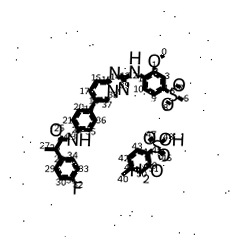 COc1cc(S(C)(=O)=O)ccc1Nc1nc2ccc(-c3ccc(NC(=O)C(C)c4ccc(F)cc4)cc3)cn2n1.Cc1ccc(S(=O)(=O)O)cc1.O